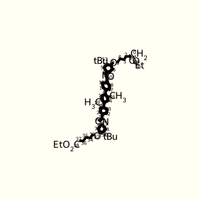 C=C(CCCCOc1cc2oc(-c3ccc(-c4cc(C)c(-c5ccc(-c6nc7cc(C(C)(C)C)c(OCCCCCC(=O)OCC)cc7o6)cc5)cc4C)cc3)nc2cc1C(C)(C)C)OOCC